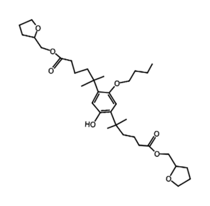 CCCCOc1cc(C(C)(C)CCCC(=O)OCC2CCCO2)c(O)cc1C(C)(C)CCCC(=O)OCC1CCCO1